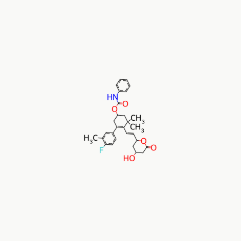 Cc1cc(C2=C(C=CC3CC(O)CC(=O)O3)C(C)(C)CC(OC(=O)Nc3ccccc3)C2)ccc1F